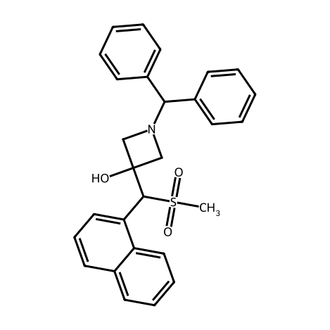 CS(=O)(=O)C(c1cccc2ccccc12)C1(O)CN(C(c2ccccc2)c2ccccc2)C1